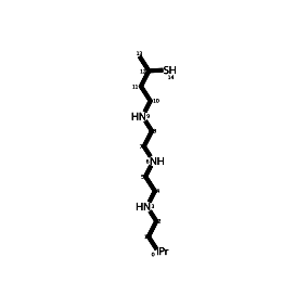 CC(C)CCNCCNCCNCCC(C)S